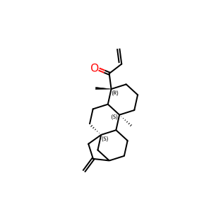 C=CC(=O)[C@]1(C)CCC[C@@]2(C)C3CCC4C[C@@]3(CCC21)CC4=C